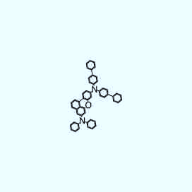 c1ccc(-c2ccc(N(c3ccc(-c4ccccc4)cc3)c3ccc4c(c3)Oc3cc(N(c5ccccc5)c5ccccc5)cc5cccc-4c35)cc2)cc1